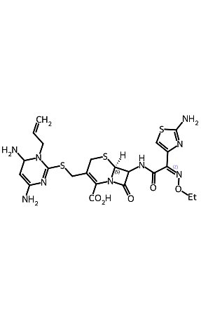 C=CCN1C(SCC2=C(C(=O)O)N3C(=O)C(NC(=O)/C(=N\OCC)c4csc(N)n4)[C@@H]3SC2)=NC(N)=CC1N